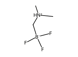 C[NH+](C)C[B-](F)(F)F